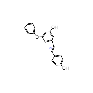 Oc1ccc(/C=C/c2cc(O)cc(Oc3ccccc3)c2)cc1